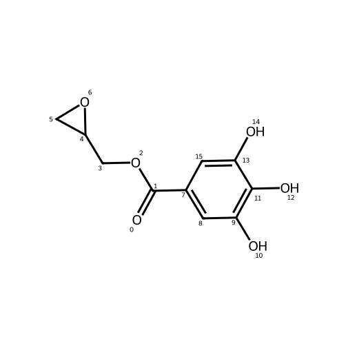 O=C(OCC1CO1)c1cc(O)c(O)c(O)c1